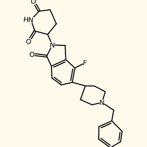 O=C1CCC(N2Cc3c(ccc(C4CCN(Cc5ccccc5)CC4)c3F)C2=O)C(=O)N1